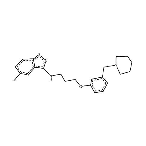 Cc1ccc2snc(NCCCOc3cccc(CN4CCCCC4)c3)c2c1